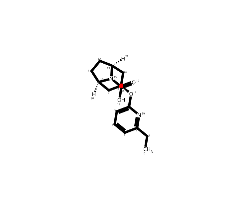 CCc1cccc(O[C@H]2C[C@H]3CC[C@@H](C2)N3C(=O)O)n1